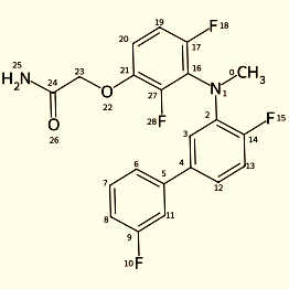 CN(c1cc(-c2cccc(F)c2)ccc1F)c1c(F)ccc(OCC(N)=O)c1F